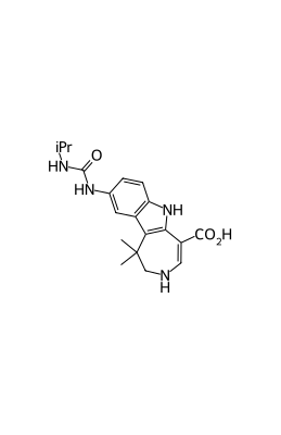 CC(C)NC(=O)Nc1ccc2[nH]c3c(c2c1)C(C)(C)CNC=C3C(=O)O